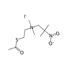 CC(=O)SCC[N+](C)(C)CC(C)(C)[N+](=O)[O-].[I-]